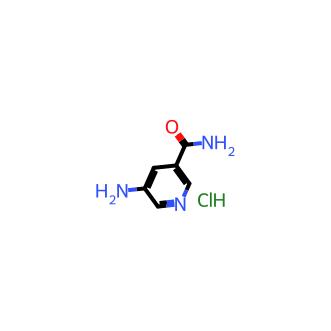 Cl.NC(=O)c1cncc(N)c1